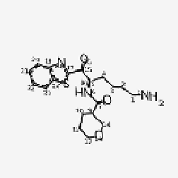 NCCCC[C@@H](NC(=O)C1CCCOC1)C(=O)c1nc2ccccc2s1